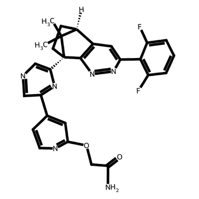 CC1(C)[C@H]2CC[C@]1(c1cncc(-c3ccnc(OCC(N)=O)c3)n1)c1nnc(-c3c(F)cccc3F)cc12